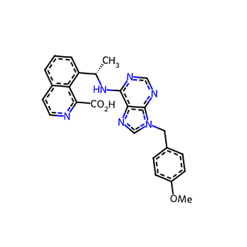 COc1ccc(Cn2cnc3c(N[C@@H](C)c4cccc5ccnc(C(=O)O)c45)ncnc32)cc1